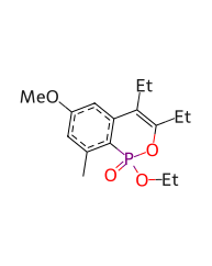 CCOP1(=O)OC(CC)=C(CC)c2cc(OC)cc(C)c21